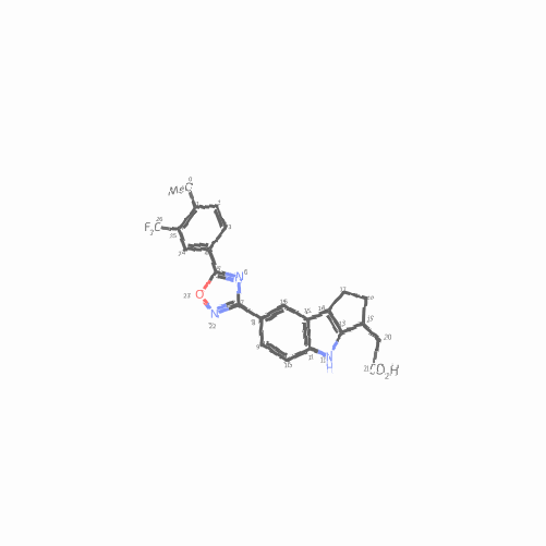 COc1ccc(-c2nc(-c3ccc4[nH]c5c(c4c3)CCC5CC(=O)O)no2)cc1C(F)(F)F